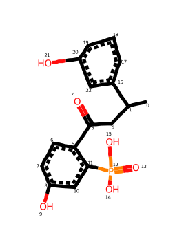 CC(CC(=O)c1ccc(O)cc1P(=O)(O)O)c1cccc(O)c1